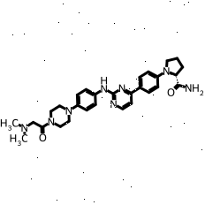 CN(C)CC(=O)N1CCN(c2ccc(Nc3nccc(-c4ccc(N5CCC[C@@H]5C(N)=O)cc4)n3)cc2)CC1